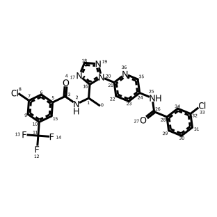 CC(NC(=O)c1cc(Cl)cc(C(F)(F)F)c1)c1ncnn1-c1ccc(NC(=O)c2cccc(Cl)c2)cn1